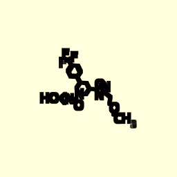 CCOCCc1noc(C2CC(c3ccc(C(F)(F)F)cc3)CN(C(=O)N3CC(O)C3)C2)n1